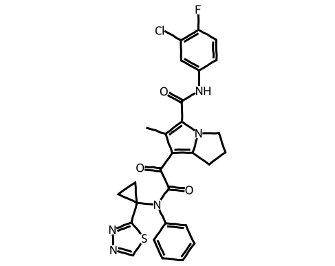 Cc1c(C(=O)C(=O)N(c2ccccc2)C2(c3nncs3)CC2)c2n(c1C(=O)Nc1ccc(F)c(Cl)c1)CCC2